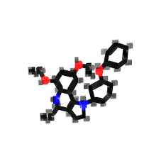 COc1cc(OC)c2nc(C)c3c(c2c1)N(c1cccc(Oc2ccccc2)c1)CC3